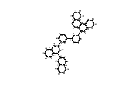 c1cc(-c2cccc(-c3nc4ccccc4c4c3ccc3ccccc34)c2)cc(-c2nc(-c3ccc4ccccc4c3)c3ccccc3n2)c1